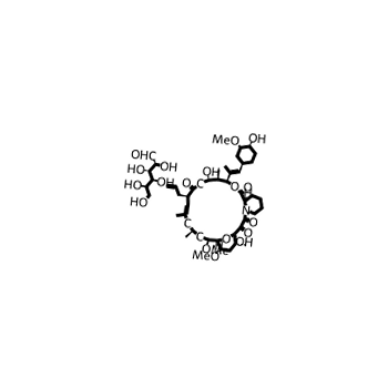 C=CC[C@@H]1/C=C(\C)C[C@H](C)C[C@H](OC)[C@H]2O[C@@](O)(C(=O)C(=O)N3CCCC[C@H]3C(=O)O[C@H](/C(C)=C/[C@@H]3CC[C@@H](O)[C@H](OC)C3)[C@H](C)[C@@H](O)CC1=O)[C@H](C)C[C@@H]2OC.O=C[C@H](O)[C@@H](O)[C@@H](O)[C@H](O)CO